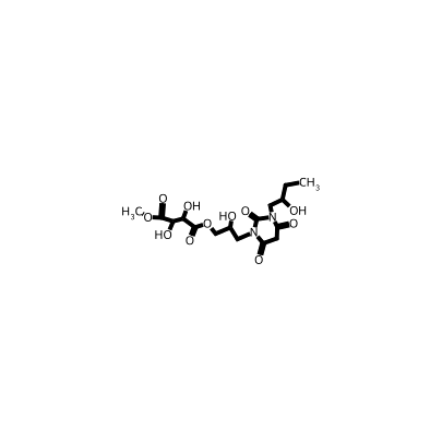 CCC(O)CN1C(=O)CC(=O)N(CC(O)COC(=O)C(O)C(O)C(=O)OC)C1=O